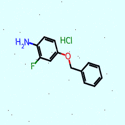 Cl.Nc1ccc(OCc2ccccc2)cc1F